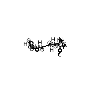 Cc1sc2c(c1C)C(c1ccc(Cl)cc1)=N[C@@H](CC(=O)NNC(=O)CCCCC(=O)Nc1cccc3c1CN(C1CCC(=O)NC1=O)C3=O)c1nnc(C)n1-2